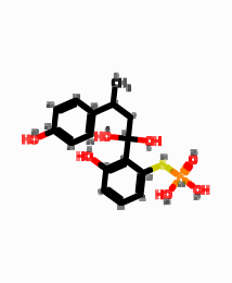 CC(CC(O)(O)c1c(O)cccc1SP(=O)(O)O)c1ccc(O)cc1